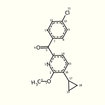 COc1nc(C(=O)c2ccc(Cl)cc2)ccc1C1CC1